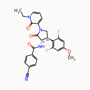 CCn1cccc(N2C[C@@H](c3c(F)cc(OC)cc3F)[C@H](NC(=O)c3ccc(C#N)cc3)C2=O)c1=O